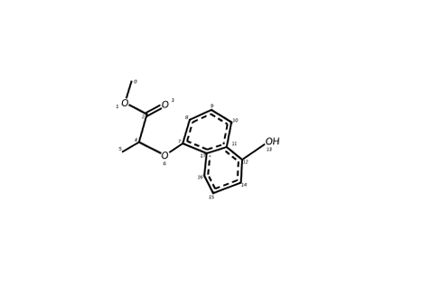 COC(=O)C(C)Oc1cccc2c(O)cccc12